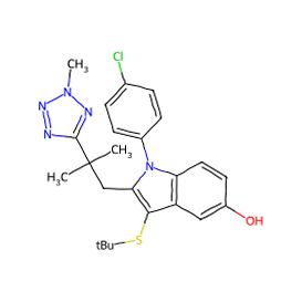 Cn1nnc(C(C)(C)Cc2c(SC(C)(C)C)c3cc(O)ccc3n2-c2ccc(Cl)cc2)n1